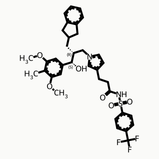 COc1cc([C@@H](O)[C@H](CC2Cc3ccccc3C2)Cn2ccc(CCC(=O)NS(=O)(=O)c3ccc(C(F)(F)F)cc3)c2)cc(OC)c1C